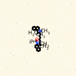 CC(C)C(=O)[N+]1=C(/C=C/C=C/C=C2/N(C)c3ccc4ccccc4c3C2(C)C)C(C)(C)c2c1ccc1ccccc21